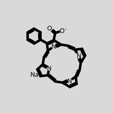 O=C([O-])C1=C(c2ccccc2)C2=CC3=NC(=CC4=NC(=CC5=NC(=CC1=N2)C=C5)C=C4)C=C3.[Na+]